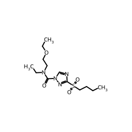 CCCCS(=O)(=O)c1ncn(C(=O)N(CC)CCOCC)n1